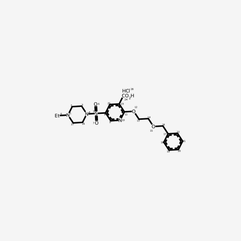 CCN1CCN(S(=O)(=O)c2cnc(OCCOCc3ccccc3)c(C(=O)O)c2)CC1.Cl